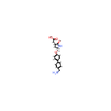 NCc1ccc(-c2ccc(OC[C@@H]3C[C@@H](CC(=O)O)C(=O)N3)cc2)cc1